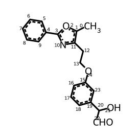 Cc1oc(-c2ccccc2)nc1CCOc1cccc(C(O)C=O)c1